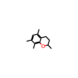 Cc1cc(C)c2c(c1C)OC(C)CC2